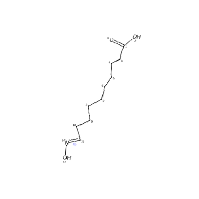 O=C(O)CCCCCCCC/C=N/O